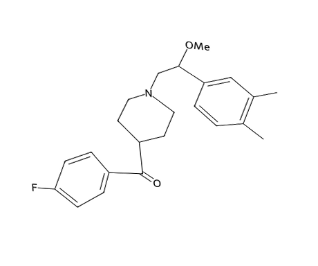 COC(CN1CCC(C(=O)c2ccc(F)cc2)CC1)c1ccc(C)c(C)c1